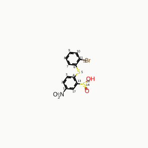 O=[N+]([O-])c1ccc(Sc2ccccc2Br)c(S(=O)O)c1